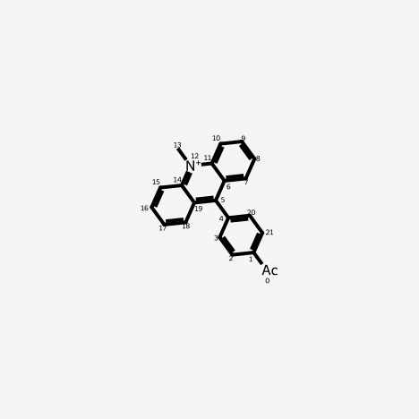 CC(=O)c1ccc(-c2c3ccccc3[n+](C)c3ccccc23)cc1